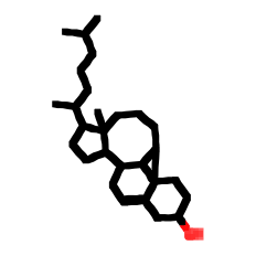 CC(C)CCCC(C)C1CCC2C3CC=C4CC(O)CCC45C(CCCC12C)C35